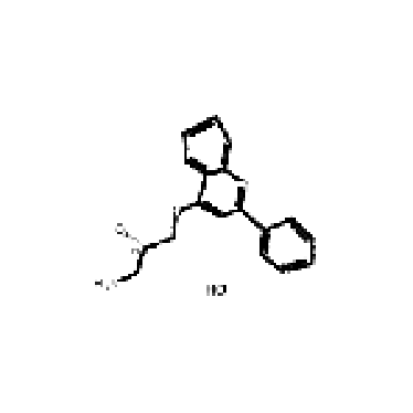 Cl.NC[C@H](O)COc1cc(-c2ccccc2)nc2ccccc12